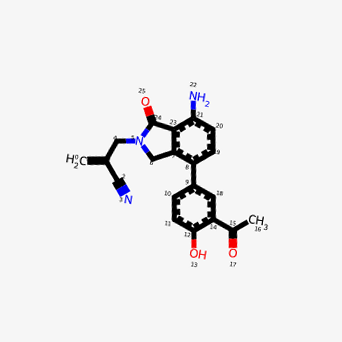 C=C(C#N)CN1Cc2c(-c3ccc(O)c(C(C)=O)c3)ccc(N)c2C1=O